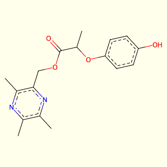 Cc1nc(C)c(COC(=O)C(C)Oc2ccc(O)cc2)nc1C